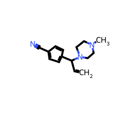 C=CC(c1ccc(C#N)cc1)N1CCN(C)CC1